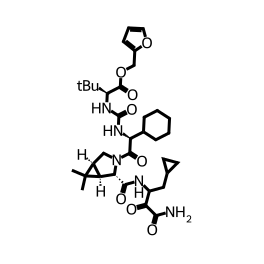 CC(C)(C)[C@H](NC(=O)N[C@H](C(=O)N1C[C@H]2[C@@H]([C@H]1C(=O)NC(CC1CC1)C(=O)C(N)=O)C2(C)C)C1CCCCC1)C(=O)OCc1ccco1